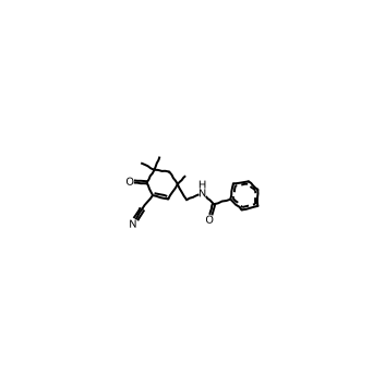 CC1(CNC(=O)c2ccccc2)C=C(C#N)C(=O)C(C)(C)C1